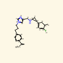 C=C(CCC)c1ccc(CCCn2cnc(CNC3CC3C3=CC=C(F)C(C)C3)c2)cc1